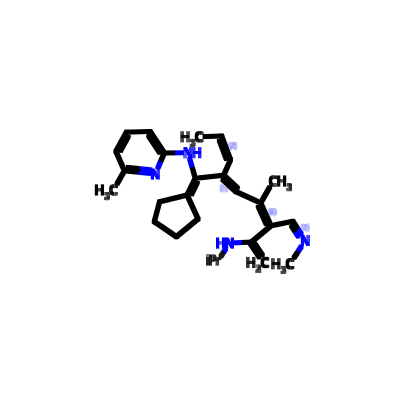 C=C(NC(C)C)C(/C=N\C)=C(C)\C=C(/C=C\C)C(Nc1cccc(C)n1)=C1CCCC1